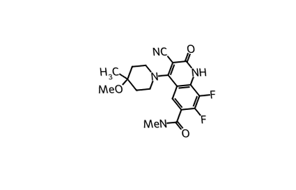 CNC(=O)c1cc2c(N3CCC(C)(OC)CC3)c(C#N)c(=O)[nH]c2c(F)c1F